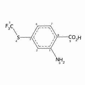 Nc1cc(SC(F)(F)F)ccc1C(=O)O